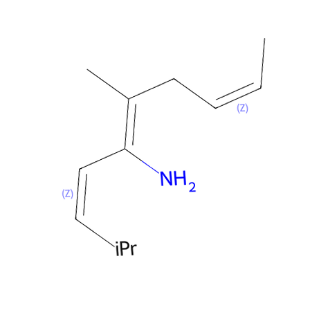 C/C=C\CC(C)=C(N)/C=C\C(C)C